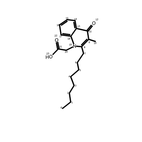 CCCCCCCCc1c(C)c(=O)c2ccccc2n1CC(=O)O